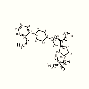 COC(=O)[C@@]1(COC2CCN(c3cccnc3OC)CC2)CC[C@H](NS(C)(=O)=O)C1